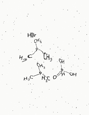 Br.CP(C)C.CP(C)C.O=[PH](O)O